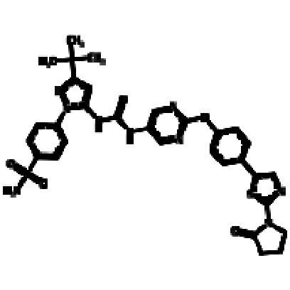 CC(C)(C)c1cc(NC(=O)Nc2cnc(Oc3ccc(-c4cnc(N5CCCC5=O)s4)cc3)nc2)n(-c2ccc(S(N)(=O)=O)cc2)n1